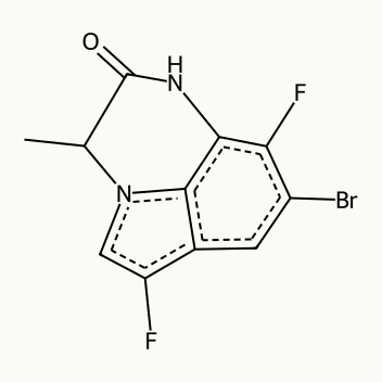 CC1C(=O)Nc2c(F)c(Br)cc3c(F)cn1c23